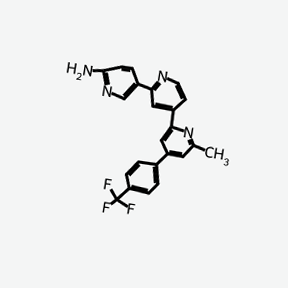 Cc1cc(-c2ccc(C(F)(F)F)cc2)cc(-c2ccnc(-c3ccc(N)nc3)c2)n1